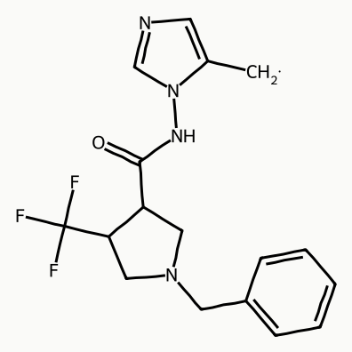 [CH2]c1cncn1NC(=O)C1CN(Cc2ccccc2)CC1C(F)(F)F